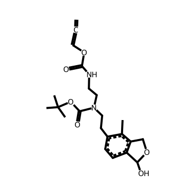 C=C=COC(=O)NCCN(CCc1ccc2c(c1C)COC2O)C(=O)OC(C)(C)C